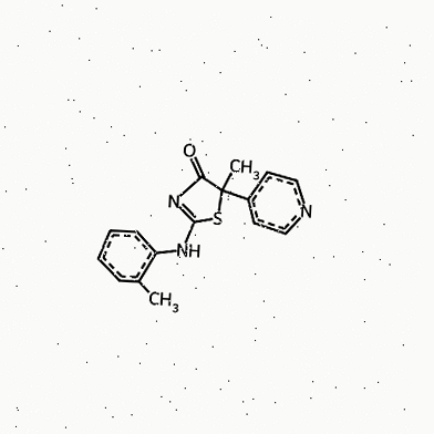 Cc1ccccc1NC1=NC(=O)C(C)(c2ccncc2)S1